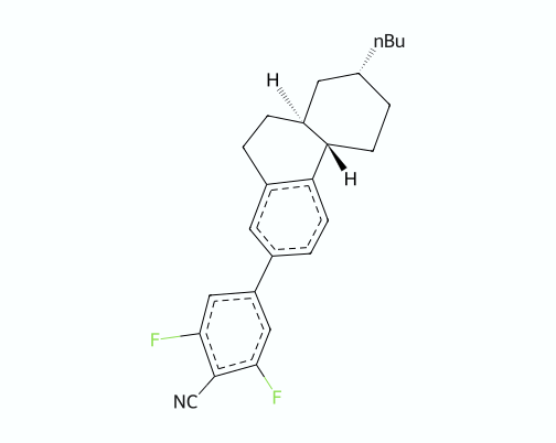 CCCC[C@@H]1CC[C@@H]2c3ccc(-c4cc(F)c(C#N)c(F)c4)cc3CC[C@H]2C1